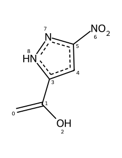 C=C(O)c1cc([N+](=O)[O-])n[nH]1